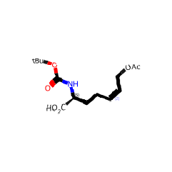 CC(=O)OC/C=C\CC[C@H](NC(=O)OC(C)(C)C)C(=O)O